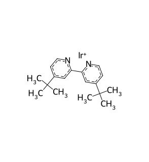 CC(C)(C)c1ccnc(-c2cc(C(C)(C)C)ccn2)c1.[Ir+]